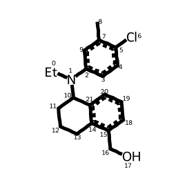 CCN(c1ccc(Cl)c(C)c1)C1CCCc2c(CO)cccc21